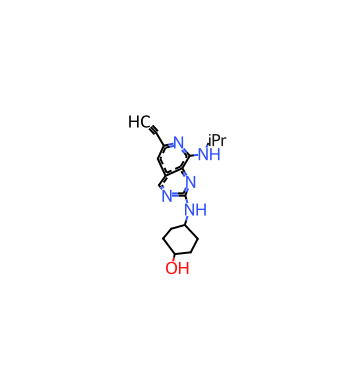 C#Cc1cc2cnc(NC3CCC(O)CC3)nc2c(NC(C)C)n1